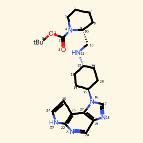 CC(C)(C)OC(=O)N1CCCC[C@@H]1CN[C@H]1CC[C@H](n2cnc3cnc4[nH]ccc4c32)CC1